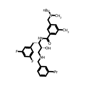 CCCCN(C)Cc1cc(C)cc(C(=O)N[C@@H](Cc2cc(F)cc(F)c2)[C@H](O)CNCc2cccc(C(C)C)c2)c1